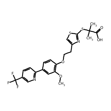 COc1cc(-c2ccc(C(F)(F)F)cn2)ccc1OCCc1csc(SC(C)(C)C(=O)O)n1